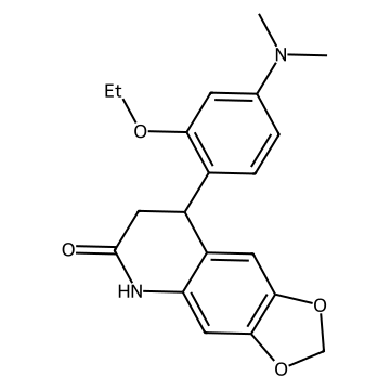 CCOc1cc(N(C)C)ccc1C1CC(=O)Nc2cc3c(cc21)OCO3